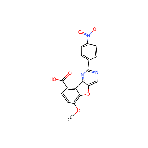 COc1ccc(C(=O)O)c2c1oc1cnc(-c3ccc([N+](=O)[O-])cc3)nc12